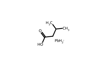 CC(C)CC(=O)O.[PbH2]